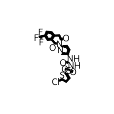 O=C(Nc1ccc(N2C(=O)Cc3ccc(C(F)(F)F)cc3C2=O)nc1)NS(=O)(=O)C1=CCC(Cl)S1